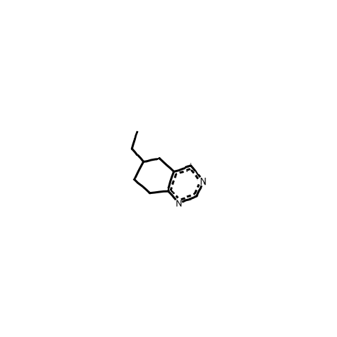 CCC1CCc2ncn[c]c2C1